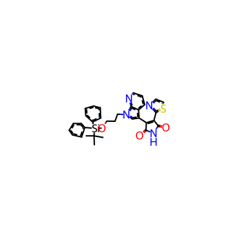 CC(C)(C)[Si](OCCCn1cc(C2=C(c3nccs3)C(=O)NC2=O)c2cccnc21)(c1ccccc1)c1ccccc1